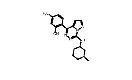 CN1CCC[C@@H](Nc2nnc(-c3ccc(C(F)(F)F)cc3O)c3ccnn23)C1